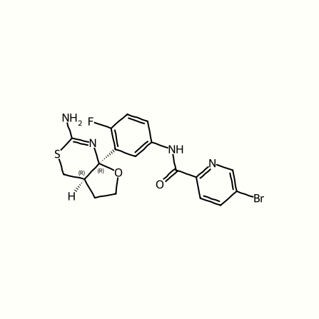 NC1=N[C@@]2(c3cc(NC(=O)c4ccc(Br)cn4)ccc3F)OCC[C@H]2CS1